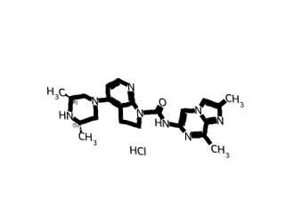 Cc1cn2cc(NC(=O)N3CCc4c(N5C[C@@H](C)N[C@@H](C)C5)ccnc43)nc(C)c2n1.Cl